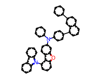 c1ccc(-c2ccc3cccc(-c4ccc(N(c5ccccc5)c5ccc6c(c5)oc5cccc(-n7c8ccccc8c8ccccc87)c56)cc4)c3c2)cc1